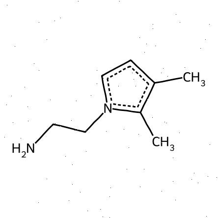 Cc1ccn(CCN)c1C